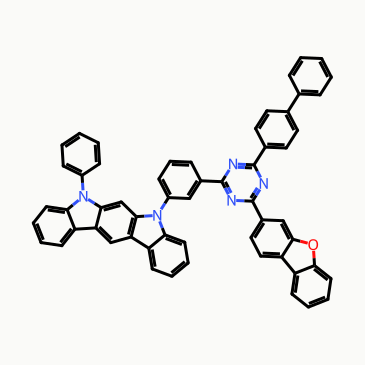 c1ccc(-c2ccc(-c3nc(-c4cccc(-n5c6ccccc6c6cc7c8ccccc8n(-c8ccccc8)c7cc65)c4)nc(-c4ccc5c(c4)oc4ccccc45)n3)cc2)cc1